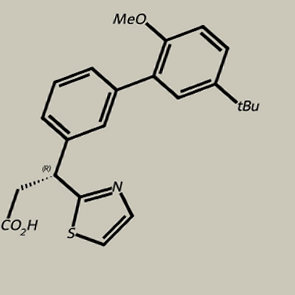 COc1ccc(C(C)(C)C)cc1-c1cccc([C@@H](CC(=O)O)c2nccs2)c1